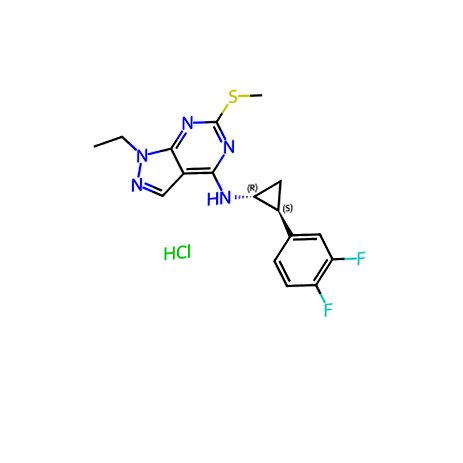 CCn1ncc2c(N[C@@H]3C[C@H]3c3ccc(F)c(F)c3)nc(SC)nc21.Cl